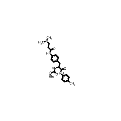 Cc1ccc(NC(=O)C(Cc2ccc(NC(=O)CCN(C)C)cc2)NC(=O)OC(C)(C)C)cc1